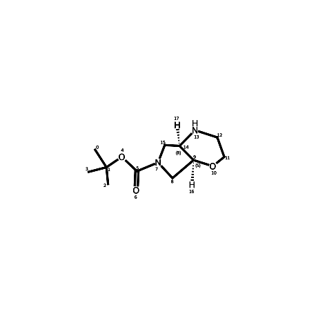 CC(C)(C)OC(=O)N1C[C@@H]2OCCN[C@@H]2C1